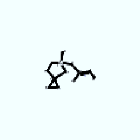 C/C=C(\C)C[N+]1(C)CCC2(CC2)C1